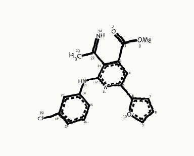 COC(=O)c1cc(-c2ccco2)nc(Nc2cccc(Cl)c2)c1C(C)=N